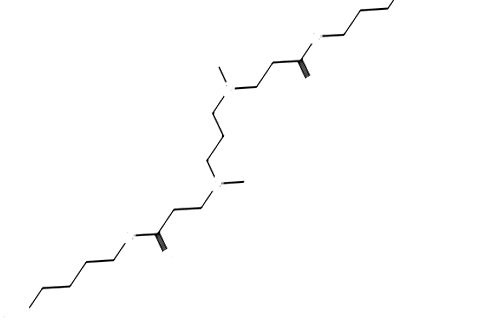 CCCCCCCCCCCCCCNC(=O)CCN(C)CCCN(C)CCC(=O)NCCCCCCCCCCCCCC